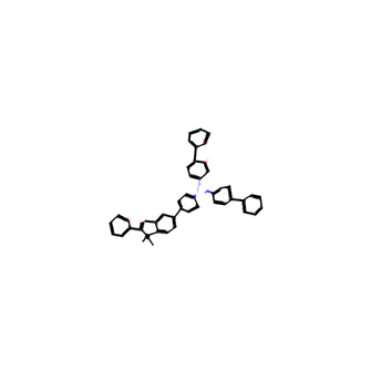 CC1(C)c2ccc(-c3ccc(N(c4ccc(-c5ccccc5)cc4)c4ccc5c(c4)oc4ccccc45)cc3)cc2-c2oc3ccccc3c21